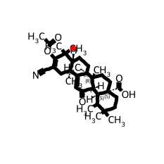 CC(=O)OC1=C(C#N)C[C@]2(C)C3=CC(=O)[C@@H]4[C@@H]5C(C)C(C)(C)CC[C@]5(C(=O)O)CC[C@@]4(C)[C@]3(C)CC[C@H]2C1(C)C